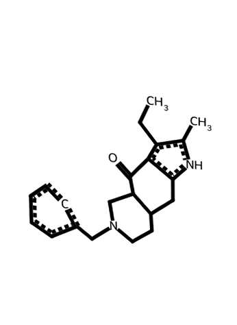 CCc1c(C)[nH]c2c1C(=O)C1CN(Cc3ccccc3)CCC1C2